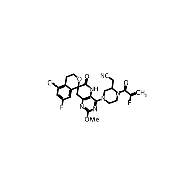 C=C(F)C(=O)N1CCN(c2nc(OC)nc3c2NC(=O)C2(C3)OCCc3c(Cl)cc(F)cc32)CC1CC#N